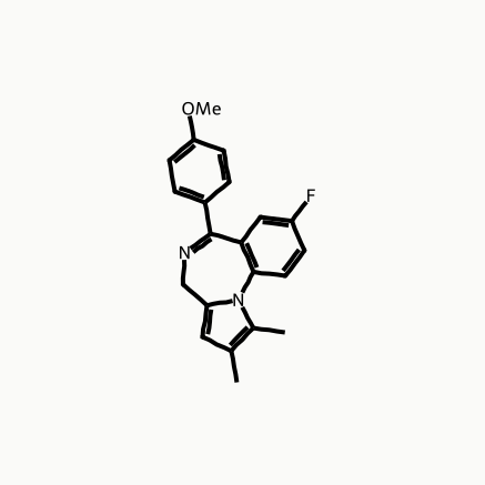 COc1ccc(C2=NCc3cc(C)c(C)n3-c3ccc(F)cc32)cc1